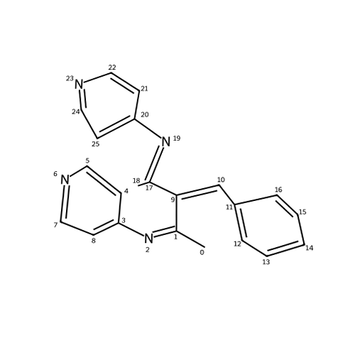 CC(=N/c1ccncc1)/C(=C\c1ccccc1)C(/C)=N/c1ccncc1